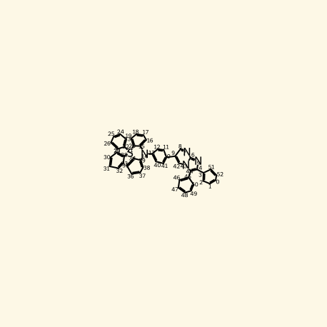 c1ccc(-c2nc3ncc(-c4ccc(N5c6ccccc6S(c6ccccc6)(c6ccccc6)c6ccccc65)cc4)cn3c2-c2ccccc2)cc1